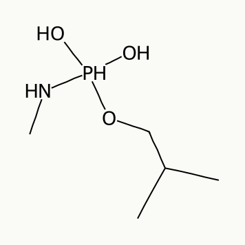 CN[PH](O)(O)OCC(C)C